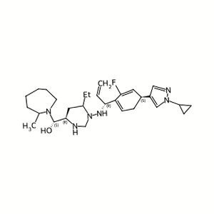 C=C[C@@H](NN1CN[C@@H]([C@H](O)N2CCCCCC2C)CC1CC)C1=CC[C@H](c2cnn(C3CC3)c2)C=C1F